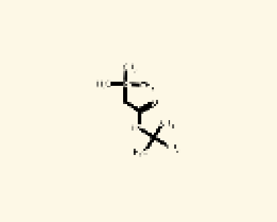 CC(C)(C)NC(=O)C[N+](C)(C)C